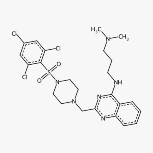 CN(C)CCCNc1nc(CN2CCN(S(=O)(=O)c3c(Cl)cc(Cl)cc3Cl)CC2)nc2ccccc12